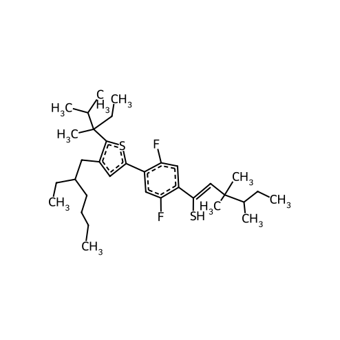 CCCCC(CC)Cc1cc(-c2cc(F)c(/C(S)=C/C(C)(C)C(C)CC)cc2F)sc1C(C)(CC)C(C)C